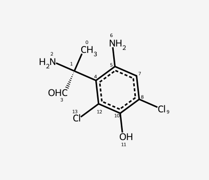 C[C@@](N)(C=O)c1c(N)cc(Cl)c(O)c1Cl